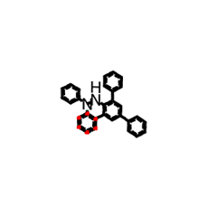 c1ccc(-c2cc(-c3ccccc3)c(NN(c3ccccc3)c3ccccc3)c(-c3ccccc3)c2)cc1